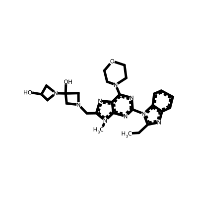 CCc1nc2ccccc2n1-c1nc(N2CCOCC2)c2nc(CN3CC(O)(N4CC(O)C4)C3)n(C)c2n1